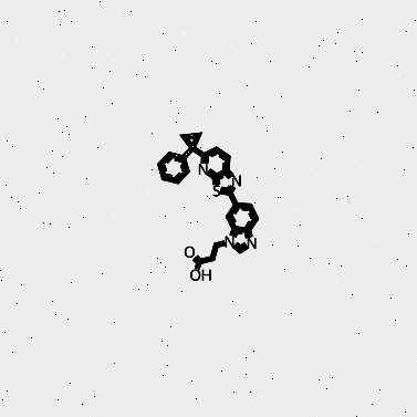 O=C(O)CCn1cnc2ccc(-c3nc4ccc(C5(c6ccccc6)CC5)nc4s3)cc21